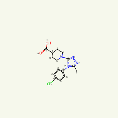 Cc1nnc(N2CCC(C(=O)O)CC2)n1-c1ccc(Cl)cc1